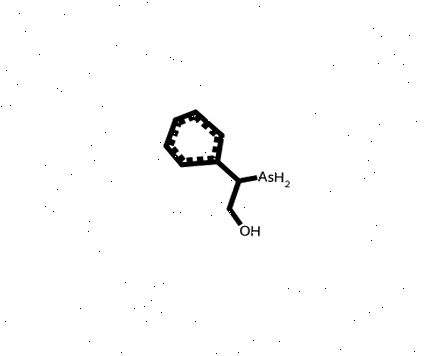 OCC([AsH2])c1ccccc1